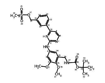 COc1cc(Nc2nccc(-c3cccc(COS(C)(=O)=O)c3)n2)cc(CNC(=O)OC(C)(C)C)c1OC